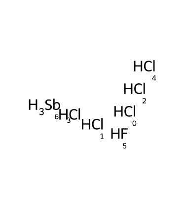 Cl.Cl.Cl.Cl.Cl.F.[SbH3]